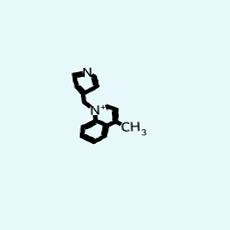 Cc1cc[n+](Cc2ccncc2)c2ccccc12